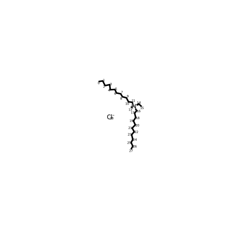 CCCCCCCCCCCC[N+](C)(CC)CCCCCCCCCCCC.[Cl-]